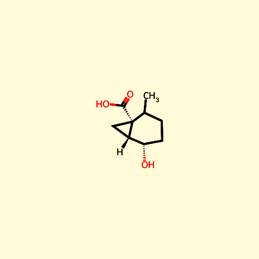 CC1CC[C@H](O)[C@@H]2C[C@@]12C(=O)O